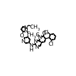 CCn1ccc(Oc2ncc(Nc3ncc4cc(-c5c(Cl)cccc5Cl)c(=O)n(C)c4n3)cc2F)n1